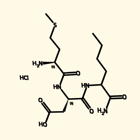 CCCCC(NC(=O)[C@H](CC(=O)O)NC(=O)[C@@H](N)CCSC)C(N)=O.Cl